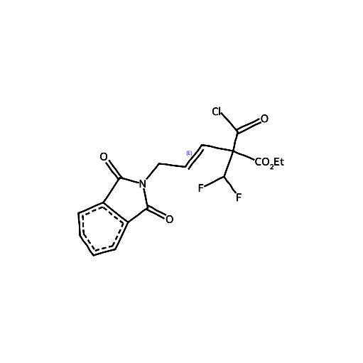 CCOC(=O)C(/C=C/CN1C(=O)c2ccccc2C1=O)(C(=O)Cl)C(F)F